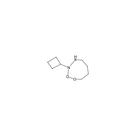 B1CCCCOON1C1CCC1